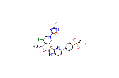 CC(C)c1noc(N2CCC(C(C)Oc3nc4ccc(-c5ccc(S(C)(=O)=O)cc5)nc4s3)C(F)C2)n1